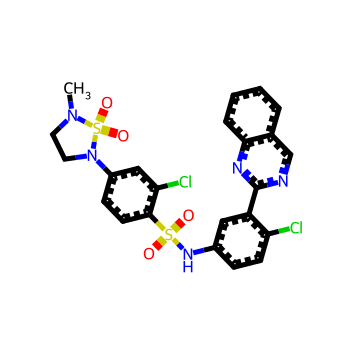 CN1CCN(c2ccc(S(=O)(=O)Nc3ccc(Cl)c(-c4ncc5ccccc5n4)c3)c(Cl)c2)S1(=O)=O